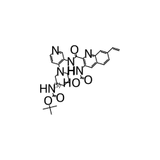 C=Cc1ccc2cc(NC(=O)O)c(C(=O)Nc3cnccc3N3CCC[C@H](NC(=O)OC(C)(C)C)C3)nc2c1